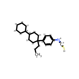 CCCC1(c2ccc(N=C=S)cc2)CCC(C2CCCCC2)CC1